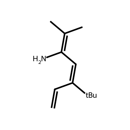 C=C/C(=C\C(N)=C(C)C)C(C)(C)C